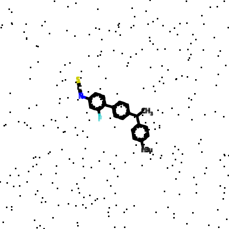 CCCCc1ccc(C(C)c2ccc(-c3ccc(N=C=S)cc3F)cc2)cc1